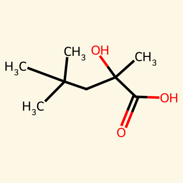 CC(C)(C)CC(C)(O)C(=O)O